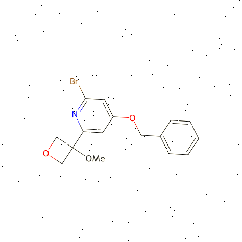 COC1(c2cc(OCc3ccccc3)cc(Br)n2)COC1